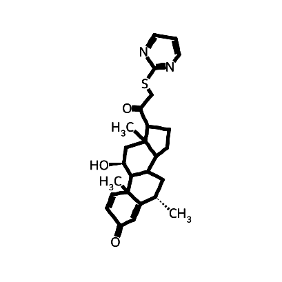 C[C@H]1CC2C([C@@H](O)CC3(C)C(C(=O)CSc4ncccn4)CCC23)C2(C)C=CC(=O)C=C12